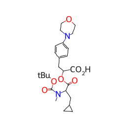 CN(C(=O)OC(C)(C)C)C(CC1CC1)C(=O)OC(Cc1ccc(N2CCOCC2)cc1)C(=O)O